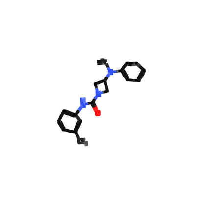 CCCN(c1ccccc1)C1CN(C(=O)Nc2cccc(C(F)(F)F)c2)C1